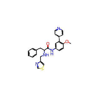 COc1ccc(NC(=O)C(Cc2ccccc2)NCc2cscn2)cc1-c1ccncc1